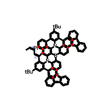 C/C=C\C=C(/C)c1cc(C(C)(C)C)cc(-c2ccccc2)c1N1c2cc(-n3c4ccccc4c4ccccc43)ccc2B2c3ccc(-n4c5ccccc5c5ccccc54)cc3N(c3c(-c4ccccc4)cc(C(C)(C)C)cc3-c3ccccc3)c3cc(C(C)C)cc1c32